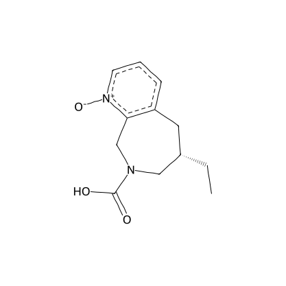 CC[C@H]1Cc2ccc[n+]([O-])c2CN(C(=O)O)C1